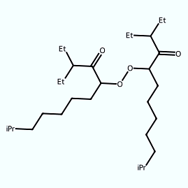 CCC(CC)C(=O)C(CCCCCC(C)C)OOC(CCCCCC(C)C)C(=O)C(CC)CC